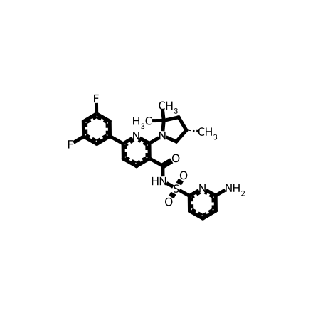 C[C@@H]1CN(c2nc(-c3cc(F)cc(F)c3)ccc2C(=O)NS(=O)(=O)c2cccc(N)n2)C(C)(C)C1